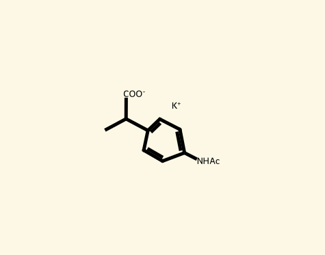 CC(=O)Nc1ccc(C(C)C(=O)[O-])cc1.[K+]